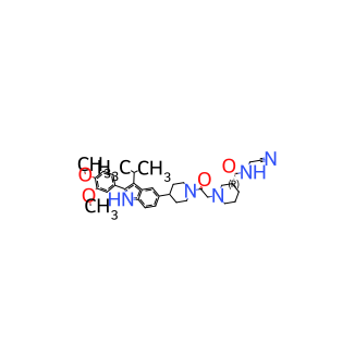 COc1ccc(-c2[nH]c3ccc(C4CCN(C(=O)CN5CCC[C@@H](C(=O)NCC#N)C5)CC4)cc3c2C(C)C)cc1OC